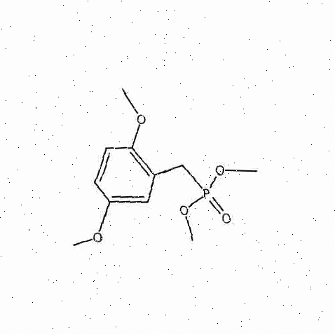 COc1ccc(OC)c(CP(=O)(OC)OC)c1